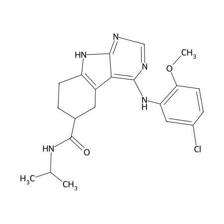 COc1ccc(Cl)cc1Nc1ncnc2[nH]c3c(c12)CC(C(=O)NC(C)C)CC3